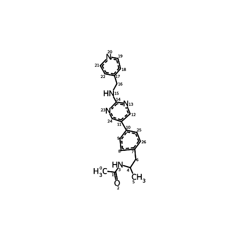 CC(=O)NC(C)Cc1ccc(-c2cnc(NCc3ccncc3)nc2)cc1